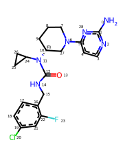 Nc1nccc(N2CCC[C@@H](N(C(=O)NCc3ccc(Cl)cc3F)C3CC3)C2)n1